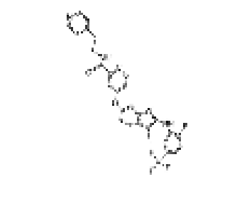 Cn1c(Nc2cc(C(F)(F)F)ccc2F)nc2cc(Oc3ccnc(C(=O)NCCc4ccncc4)c3)ccc21